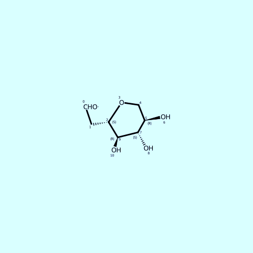 O=[C]C[C@@H]1OC[C@@H](O)[C@H](O)[C@H]1O